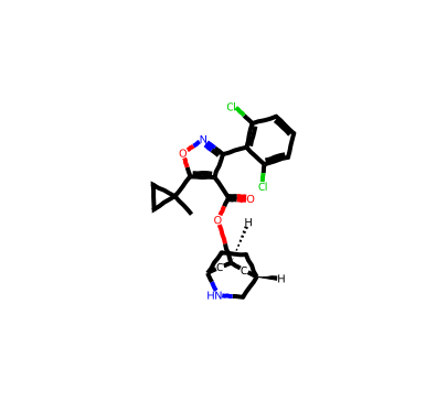 CC1(c2onc(-c3c(Cl)cccc3Cl)c2C(=O)O[C@@H]2CC3CC[C@H](CN3)C2)CC1